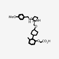 COc1ccc(CN[C@H]2CCN[C@H]2COC2CCC(c3c(C)cccc3OCC(=O)O)CC2)cc1